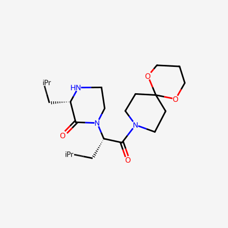 CC(C)C[C@@H]1NCCN([C@@H](CC(C)C)C(=O)N2CCC3(CC2)OCCCO3)C1=O